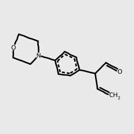 C=CC(C=O)c1ccc(N2CCOCC2)cc1